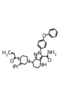 C=CC(=O)N1CCN(C2CCNc3c2nn(-c2ccc(Oc4ccccc4)cc2)c3C(N)=O)C[C@H]1C(C)C